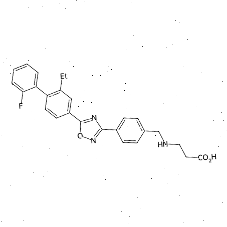 CCc1cc(-c2nc(-c3ccc(CNCCC(=O)O)cc3)no2)ccc1-c1ccccc1F